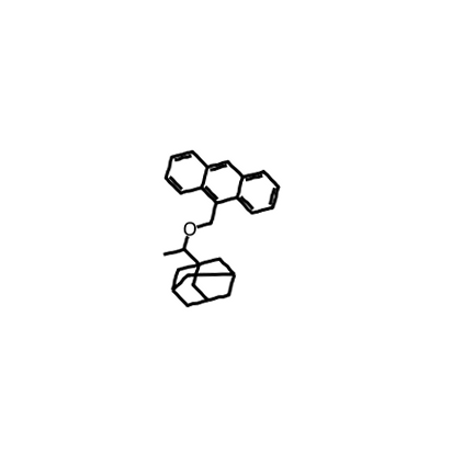 CC(OCc1c2ccccc2cc2ccccc12)C12CC3CC(CC(C3)C1)C2